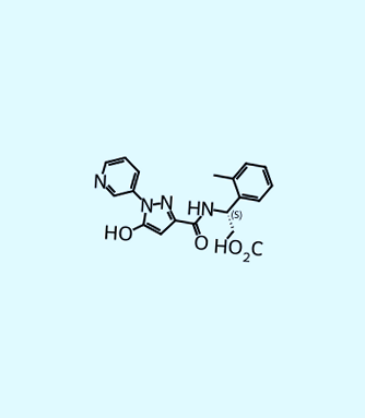 Cc1ccccc1[C@H](CC(=O)O)NC(=O)c1cc(O)n(-c2cccnc2)n1